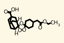 CCOC(=O)CC1CCC2(CC1)OOC1(O2)[C@@H]2CC3C[C@H]1CC(C(=O)O)(C3)C2